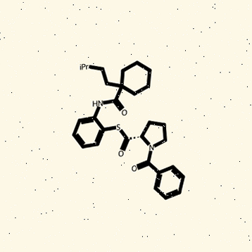 CC(C)CCC1(C(=O)Nc2ccccc2SC(=O)[C@@H]2CCCN2C(=O)c2ccccc2)CCCCC1